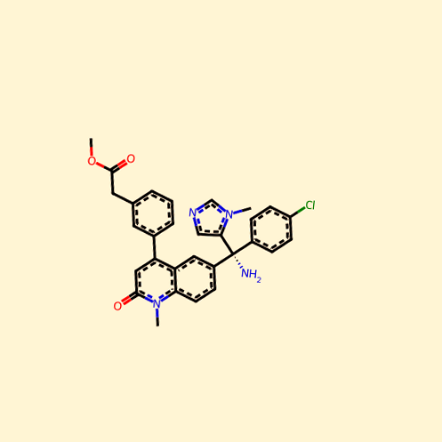 COC(=O)Cc1cccc(-c2cc(=O)n(C)c3ccc([C@](N)(c4ccc(Cl)cc4)c4cncn4C)cc23)c1